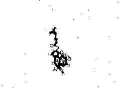 CC(C)=C/C=C/C(=O)Oc1ccc2c3c1O[C@H]1C(=O)CC45C[C@]31[C@@H]4[C@@H](C2)N5C